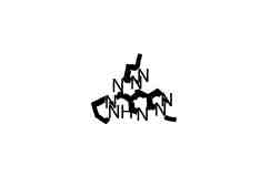 CCn1ncc2c1ncc1c(N3C=CCCN3)nc3cc(C)nn3c12